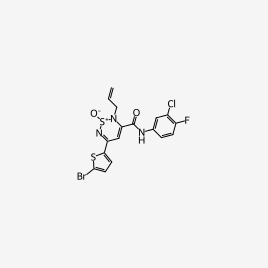 C=CCN1C(C(=O)Nc2ccc(F)c(Cl)c2)=CC(c2ccc(Br)s2)=N[S+]1[O-]